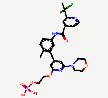 Cc1ccc(NC(=O)c2ccnc(C(C)(F)F)c2)cc1-c1cc(OCCOP(=O)(O)O)nc(N2CCOCC2)c1